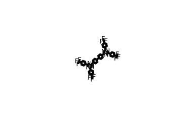 FC(F)(F)c1ccc(-c2nc(-c3ccc(-c4ccc(-c5nc(-c6ccc(C(F)(F)F)cc6)nc(-c6ccc(C(F)(F)F)cc6)n5)cc4)cc3)nc(-c3ccc(C(F)(F)F)cc3)n2)cc1